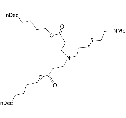 CCCCCCCCCCCCCCOC(=O)CCN(CCSSCCNC)CCC(=O)OCCCCCCCCCCCCCC